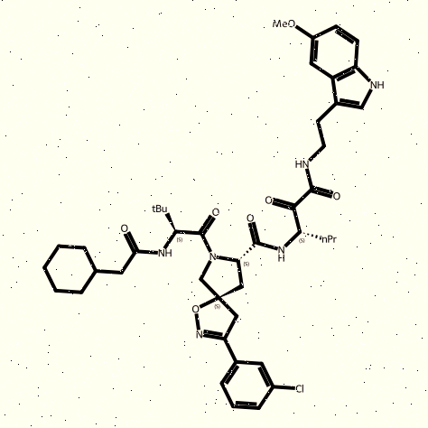 CCC[C@H](NC(=O)[C@@H]1C[C@]2(CC(c3cccc(Cl)c3)=NO2)CN1C(=O)[C@@H](NC(=O)CC1CCCCC1)C(C)(C)C)C(=O)C(=O)NCCc1c[nH]c2ccc(OC)cc12